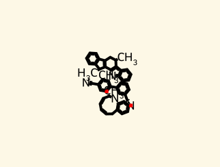 CC1CC2=C(c3c1c1ccccc1n3-c1cc(C#N)ccc1-c1cccc(C#N)c1N1c3ccccc3C/C=C\C=C/C1C)C(C)(C)c1ccccc12